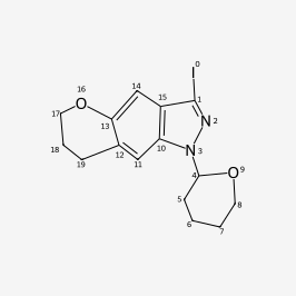 Ic1nn(C2CCCCO2)c2cc3c(cc12)OCCC3